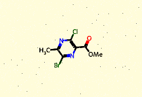 COC(=O)c1nc(Br)c(C)nc1Cl